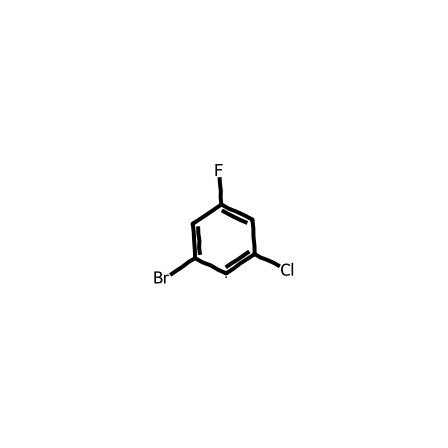 Fc1cc(Cl)[c]c(Br)c1